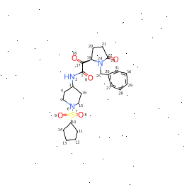 O=C(NC1CCN(S(=O)(=O)C2CCCC2)CC1)C(=O)[C@H]1CCC(=O)N1Cc1ccccc1